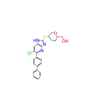 OCC1CCC(Sc2nc3nc(-c4ccc(-c5ccccc5)cc4)c(Cl)cc3[nH]2)CO1